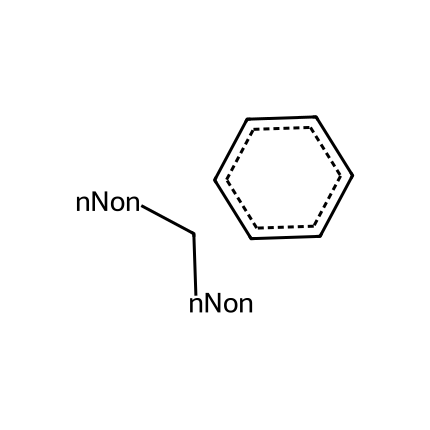 CCCCCCCCCCCCCCCCCCC.c1ccccc1